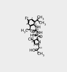 CC(C)c1cc(F)cc(C(C)C)c1NC(=O)NS(=N)(=O)c1nn(C[C@H](C)O)cc1Cl